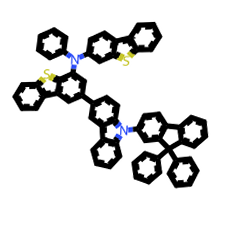 c1ccc(N(c2ccc3c(c2)sc2ccccc23)c2cc(-c3ccc4c(c3)c3ccccc3n4-c3ccc4c(c3)C(c3ccccc3)(c3ccccc3)c3ccccc3-4)cc3c2sc2ccccc23)cc1